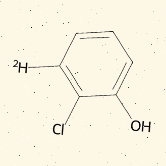 [2H]c1cccc(O)c1Cl